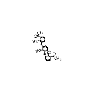 CC(=O)c1cccc(Cc2cccc(Cc3cccc(C(=O)O)c3O)c2O)c1O